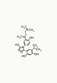 CC(C)c1cc(-c2nnc(S)n2-c2ccc(O)c(N(C)CCN(C)C)c2)c(O)cc1O